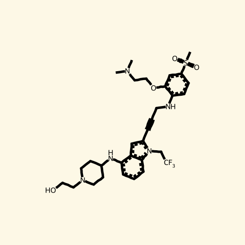 CN(C)CCOc1cc(S(C)(=O)=O)ccc1NCC#Cc1cc2c(NC3CCN(CCO)CC3)cccc2n1CC(F)(F)F